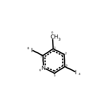 Cc1cc(I)cnc1I